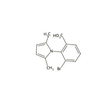 Cc1ccc(C)n1-c1c(Br)cccc1C(=O)O